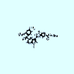 CNc1cc(C)ccc1C(=N)c1cnc2[nH]cc(C(=O)NC3(C)CCN(C(=O)OC(C)(C)C)C3)c2n1